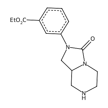 CCOC(=O)c1cccc(N2CC3CNCCN3C2=O)c1